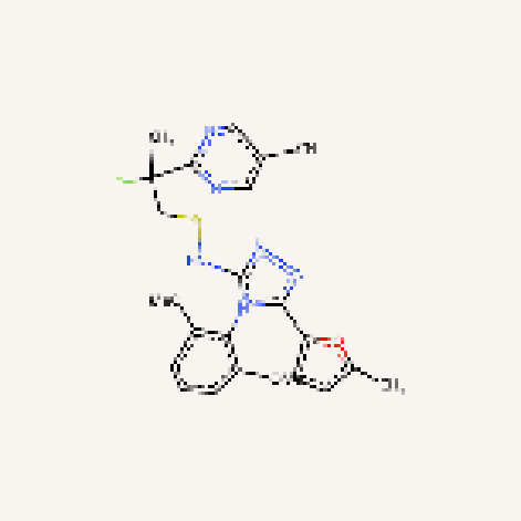 COc1cccc(OC)c1-n1c(NSCC(C)(F)c2ncc(C#N)cn2)nnc1-c1ccc(C)o1